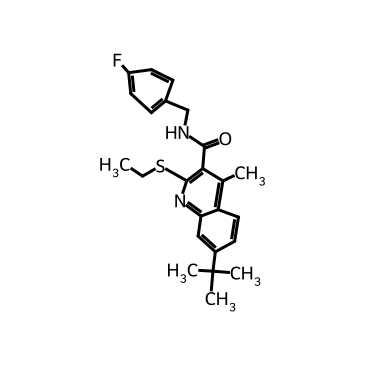 CCSc1nc2cc(C(C)(C)C)ccc2c(C)c1C(=O)NCc1ccc(F)cc1